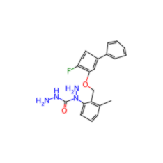 Cc1cccc(N(N)C(=O)NN)c1COc1cc(-c2ccccc2)ccc1F